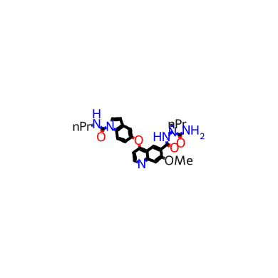 CCCNC(=O)n1ccc2cc(Oc3ccnc4cc(OC)c(C(=O)NN(CCC)C(N)=O)cc34)ccc21